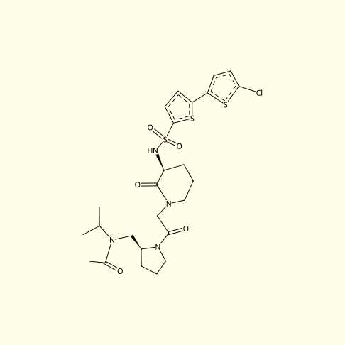 CC(=O)N(C[C@@H]1CCCN1C(=O)CN1CCC[C@H](NS(=O)(=O)c2ccc(-c3ccc(Cl)s3)s2)C1=O)C(C)C